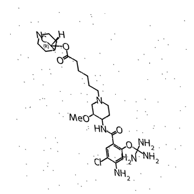 COC1CN(CCCCCC(=O)O[C@H]2CN3CCC2CC3)CCC1NC(=O)c1cc(Cl)c(N)cc1OC(N)(N)N